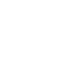 CCCCC(CC)COC(=O)CCOc1ccc(N(C)C)cc1